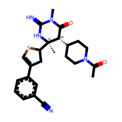 CC(=O)N1CCC([C@H]2C(=O)N(C)C(=N)N[C@]2(C)C2CC(c3cccc(C#N)c3)=CS2)CC1